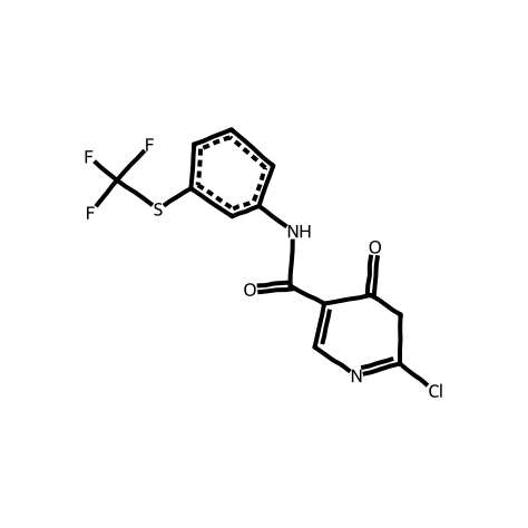 O=C1CC(Cl)=NC=C1C(=O)Nc1cccc(SC(F)(F)F)c1